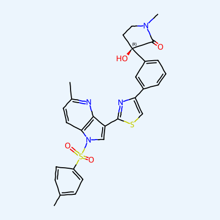 Cc1ccc(S(=O)(=O)n2cc(-c3nc(-c4cccc([C@]5(O)CCN(C)C5=O)c4)cs3)c3nc(C)ccc32)cc1